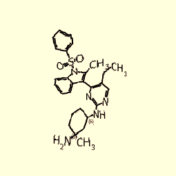 CCc1cnc(N[C@@H]2CCC[C@](C)(N)C2)nc1-c1c(C)n(S(=O)(=O)c2ccccc2)c2ccccc12